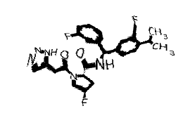 CC(C)c1ccc([C@@H](NC(=O)[C@@H]2C[C@@H](F)CN2C(=O)Cc2cnn[nH]2)c2cccc(F)c2)cc1F